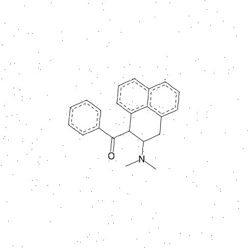 CN(C)C1Cc2cc[c]c3cccc(c23)C1C(=O)c1ccccc1